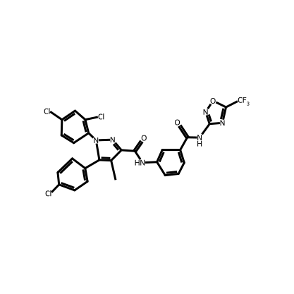 Cc1c(C(=O)Nc2cccc(C(=O)Nc3noc(C(F)(F)F)n3)c2)nn(-c2ccc(Cl)cc2Cl)c1-c1ccc(Cl)cc1